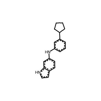 c1cc(Nc2ccc3cc[nH]c3c2)cc(C2CCCC2)c1